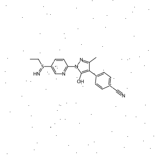 CCS(=N)c1ccc(-n2nc(C)c(-c3ccc(C#N)cc3)c2O)nc1